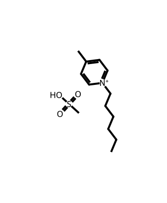 CCCCCC[n+]1ccc(C)cc1.CS(=O)(=O)O